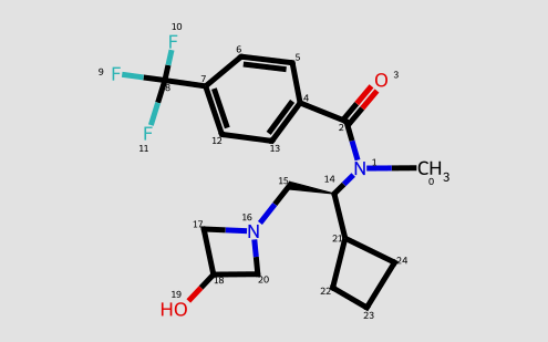 CN(C(=O)c1ccc(C(F)(F)F)cc1)[C@H](CN1CC(O)C1)C1CCC1